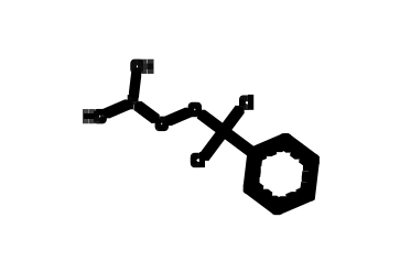 OP(O)OOC(Cl)(Cl)c1ccccc1